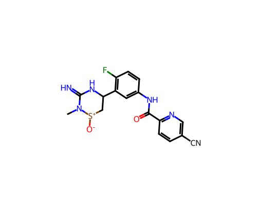 CN1C(=N)NC(c2cc(NC(=O)c3ccc(C#N)cn3)ccc2F)C[S+]1[O-]